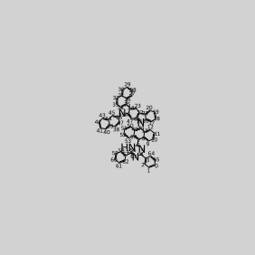 c1ccc(C2=NC(c3c4ccccc4c(-n4c5ccccc5c5cc6c7c8ccccc8ccc7n(-c7ccc8ccccc8c7)c6cc54)c4ccccc34)NC(c3ccccc3)=N2)cc1